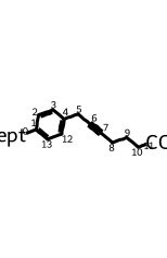 CCCCCCCc1ccc(CC#CCCCC(=O)O)cc1